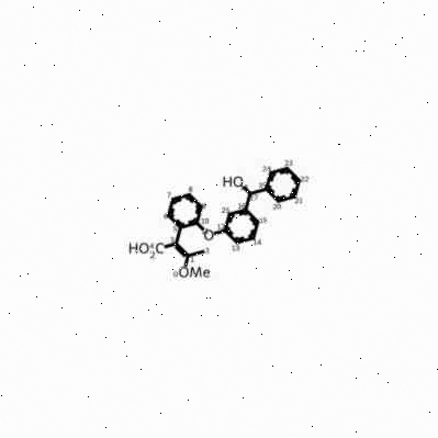 COC(C)=C(C(=O)O)c1ccccc1Oc1cccc(C(O)c2ccccc2)c1